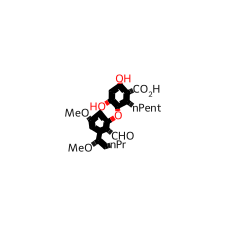 CCC/C=C(/OC)c1cc(OC)cc(Oc2c(O)cc(O)c(C(=O)O)c2CCCCC)c1C=O